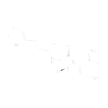 COC(=O)C1=C(OC)CS[C@@H]2C(NC(=O)COc3ccccc3)C(=O)N12